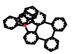 c1ccc2c(c1)-c1ccccc1-c1cnc3cccnc3c1-c1c-2cccc1-n1c2ccccc2c2ccccc21